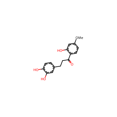 COc1ccc(C(=O)CCc2ccc(O)c(O)c2)c(O)c1